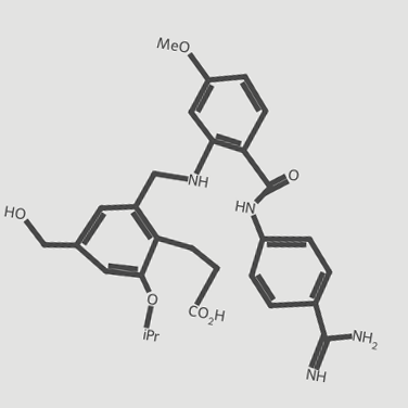 COc1ccc(C(=O)Nc2ccc(C(=N)N)cc2)c(NCc2cc(CO)cc(OC(C)C)c2CCC(=O)O)c1